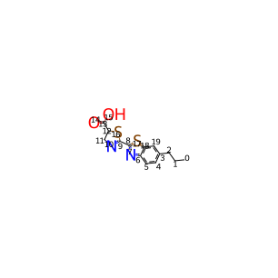 CCCc1ccc2nc(C3=NCC(C(=O)O)S3)sc2c1